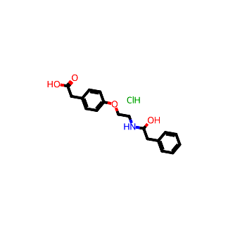 Cl.O=C(O)Cc1ccc(OCCNC(O)Cc2ccccc2)cc1